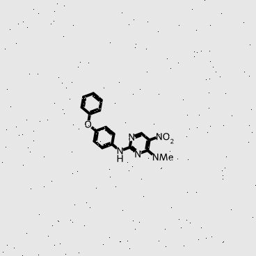 CNc1nc(Nc2ccc(Oc3ccccc3)cc2)ncc1[N+](=O)[O-]